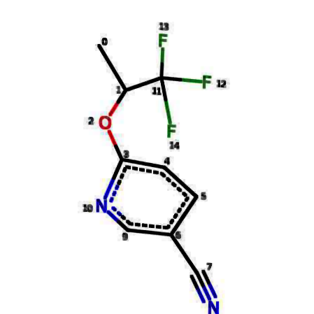 CC(Oc1ccc(C#N)cn1)C(F)(F)F